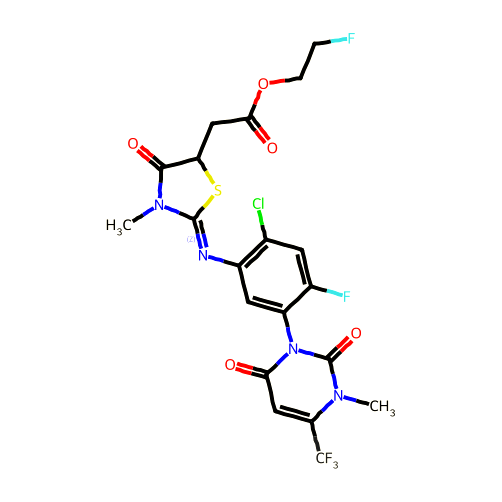 CN1C(=O)C(CC(=O)OCCF)S/C1=N\c1cc(-n2c(=O)cc(C(F)(F)F)n(C)c2=O)c(F)cc1Cl